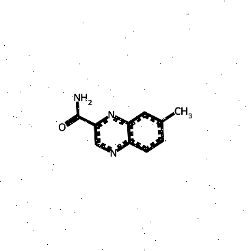 Cc1[c]cc2ncc(C(N)=O)nc2c1